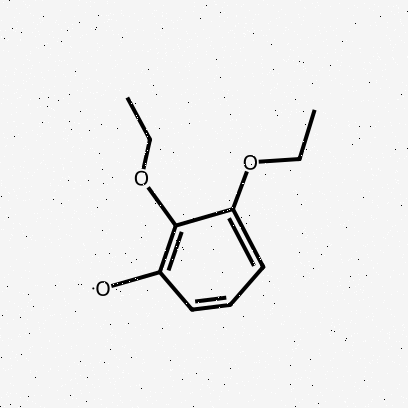 CCOc1cccc([O])c1OCC